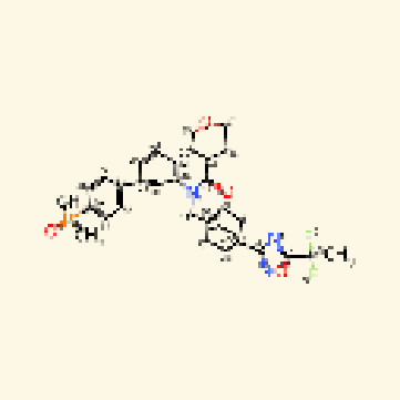 CC(F)(F)c1nc(C23CCC(CN(C(=O)C4CCOCC4)c4cccc(-c5ccc(P(C)(C)=O)cc5)c4)(CC2)CC3)no1